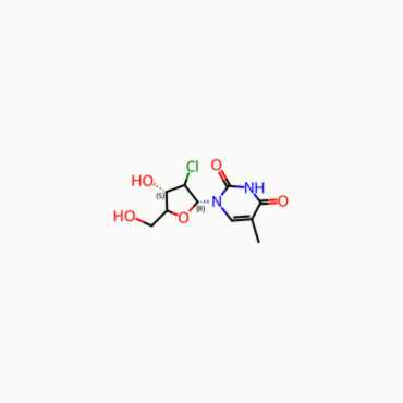 Cc1cn([C@@H]2OC(CO)[C@H](O)C2Cl)c(=O)[nH]c1=O